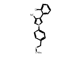 COOCc1ccc(-n2cc(C#N)c(-c3ccccc3Cl)c2)cc1